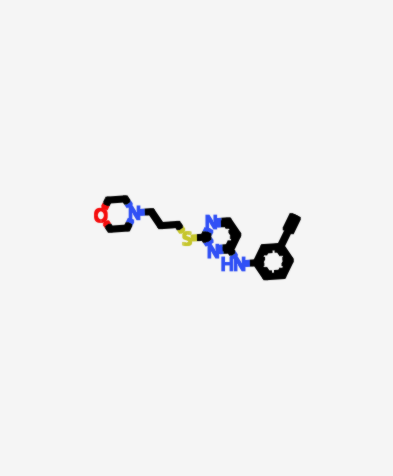 C#Cc1cccc(Nc2ccnc(SCCCN3CCOCC3)n2)c1